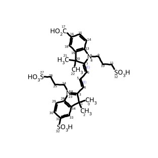 CC1(C)C(/C=C/C=C2/N(CCCS(=O)(=O)O)c3ccc(C(=O)O)cc3C2(C)C)=[N+](CCCS(=O)(=O)O)c2ccc(S(=O)(=O)O)cc21